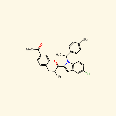 CCCC(Cc1ccc(C(=O)OC)cc1)C(=O)c1cc2cc(Cl)ccc2n1C(C)c1ccc(C(C)(C)C)cc1